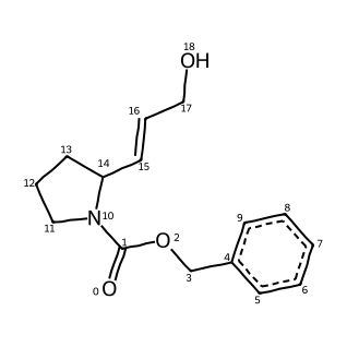 O=C(OCc1ccccc1)N1CCCC1C=CCO